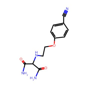 N#Cc1ccc(OCCNC(C(N)=O)C(N)=O)cc1